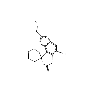 COCc1nc2cc(Cl)c3c(c2o1)C1(CCCCC1)NC(=O)N3